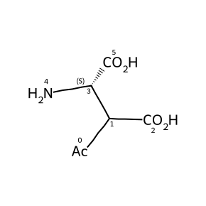 CC(=O)C(C(=O)O)[C@H](N)C(=O)O